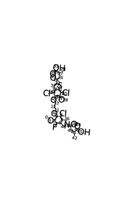 COc1c(F)c2c(c(Cl)c1OCCCOc1c(OC)c(Cl)c3sc(C(=O)C[C@H](C)C(=O)O)cc3c1Cl)CN(C(=O)C[C@H](C)C(=O)O)C2